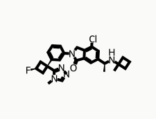 C[C@H](NC1(C)CCC1)c1cc(Cl)c2c(c1)C(=O)N(c1cccc([C@]3(c4nncn4C)C[C@H](F)C3)c1)C2